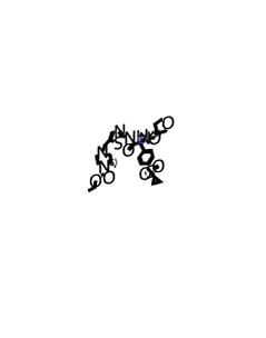 CCOC(=O)N1CCN(Cc2cnc(NC(=O)/C(=N/O[C@@H]3CCOC3)c3ccc(S(=O)(=O)C4CC4)cc3)s2)C[C@@H]1C